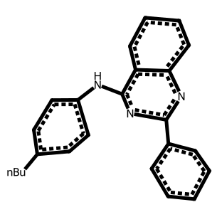 CCCCc1ccc(Nc2nc(-c3ccccc3)nc3ccccc23)cc1